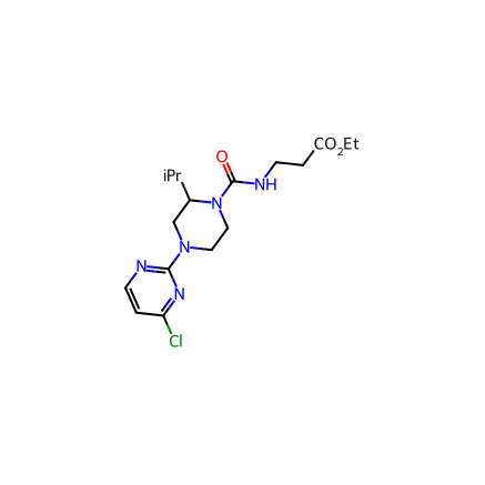 CCOC(=O)CCNC(=O)N1CCN(c2nccc(Cl)n2)CC1C(C)C